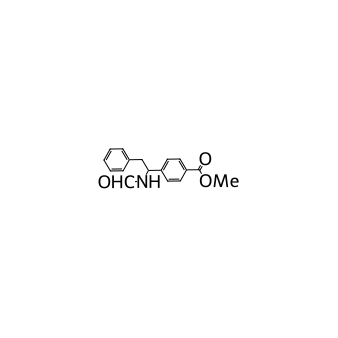 COC(=O)c1ccc(C(Cc2ccccc2)NC=O)cc1